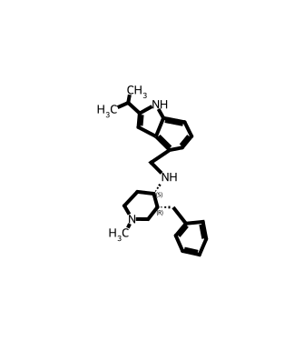 CC(C)c1cc2c(CN[C@H]3CCN(C)C[C@H]3Cc3ccccc3)cccc2[nH]1